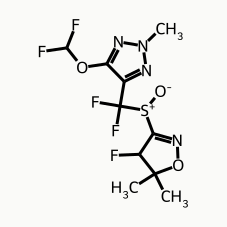 Cn1nc(OC(F)F)c(C(F)(F)[S+]([O-])C2=NOC(C)(C)C2F)n1